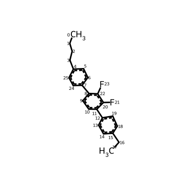 CCCCc1ccc(-c2ccc(-c3ccc(CC)cc3)c(F)c2F)cc1